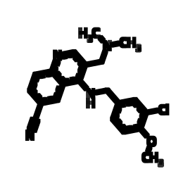 COc1ccc(CNc2c(CN(C)C)cnc3ccc(C#N)cc23)cc1Cl